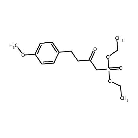 CCOP(=O)(CC(=O)CCc1ccc(OC)cc1)OCC